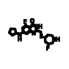 O=c1[nH]c(CS[C@@H]2CCNC[C@@H](F)C2)nc2cc(NC3CCCC3)cc(F)c12